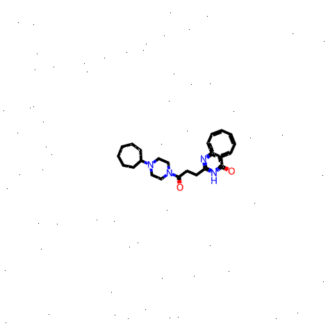 O=C(CCc1nc2/c(c(=O)[nH]1)=C\C=C/C=C\C=2)N1CCN(C2CCCCCC2)CC1